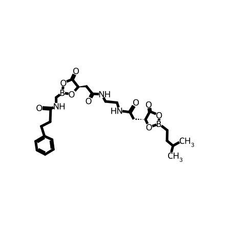 CC(C)CCB1OC(=O)[C@@H](CC(=O)NCCNC(=O)C[C@H]2OB(CNC(=O)CCc3ccccc3)OC2=O)O1